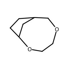 C1COC2CCC(CO1)C2